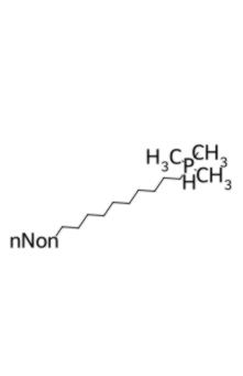 CCCCCCCCCCCCCCCCCCC[PH](C)(C)C